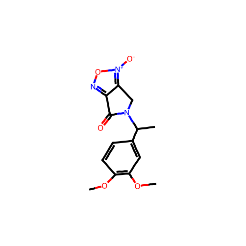 COc1ccc(C(C)N2Cc3c(no[n+]3[O-])C2=O)cc1OC